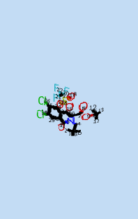 CC(C)(C)Cn1c(C(=O)OC(C)(C)C)c(OS(=O)(=O)C(F)(F)F)c2cc(Cl)c(Cl)cc2c1=O